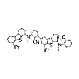 CC(C)c1cc(-c2cccc(N(I)c3cccc4c3sc3c(C(C)C)cccc34)c2C#N)cc2c1sc1c(N(I)c3ccccc3C(F)(F)F)cccc12